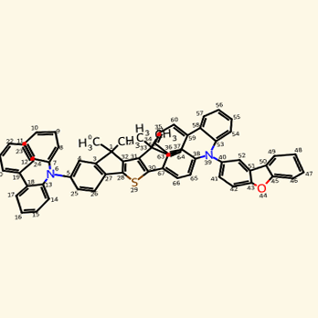 CC1(C)c2cc(N(c3ccccc3)c3ccccc3-c3ccccc3)ccc2-c2sc3c(c21)C(C)(C)c1cc(N(c2ccc4oc5ccccc5c4c2)c2ccccc2-c2ccccc2)ccc1-3